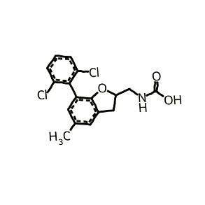 Cc1cc2c(c(-c3c(Cl)cccc3Cl)c1)OC(CNC(=O)O)C2